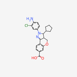 Nc1ccc(N2N=C3c4ccc(C(=O)O)cc4OCC3C2C2CCCC2)cc1Cl